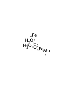 O.O.O.[Fe].[Fe].[Mo]